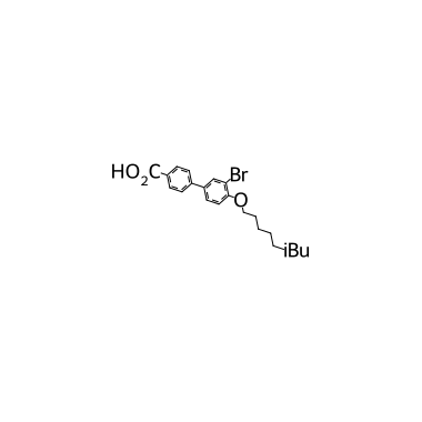 CCC(C)CCCCCOc1ccc(-c2ccc(C(=O)O)cc2)cc1Br